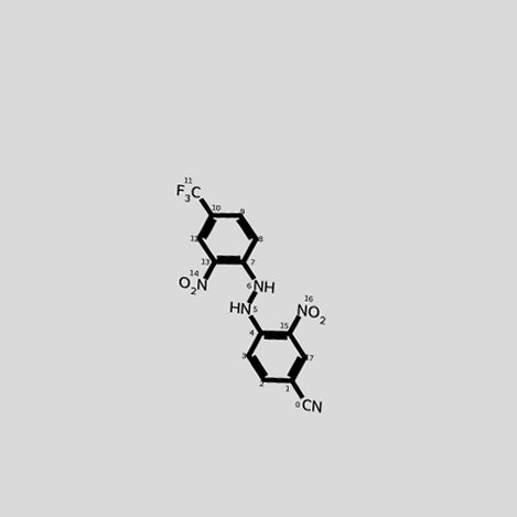 N#Cc1ccc(NNc2ccc(C(F)(F)F)cc2[N+](=O)[O-])c([N+](=O)[O-])c1